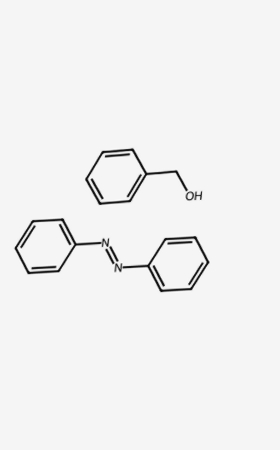 OCc1ccccc1.c1ccc(N=Nc2ccccc2)cc1